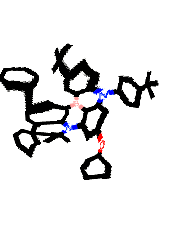 CC(C)(C)C1=CC=C(N2C3C=C(OC4C=CCCC4)CC4C3B(C3C=C(C5CCCCC5)CC5C3N4C(C)(C)C53CCCCC3)C3CC(C(C)(C)C)=CCC32)CC1